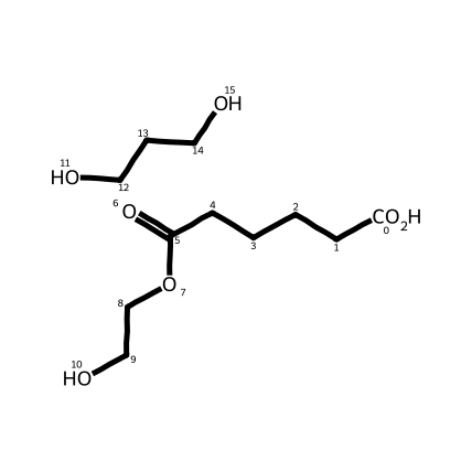 O=C(O)CCCCC(=O)OCCO.OCCCO